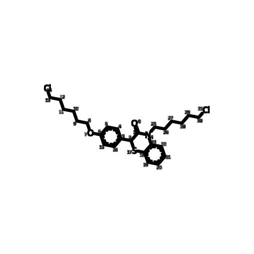 O=C1C(c2ccc(OCCCCCCCl)cc2)Sc2ccccc2N1CCCCCCCl